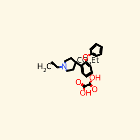 C=CCN1CCC(C(=O)OCC)(c2ccccc2Oc2ccccc2)CC1.O=C(O)C(=O)O